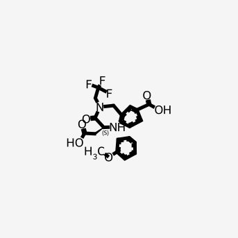 COc1ccccc1.O=C(O)C[C@@H]1Nc2ccc(C(=O)O)cc2CN(CC(F)(F)F)C1=O